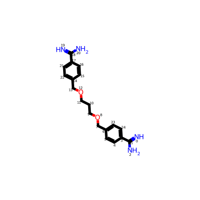 N=C(N)c1ccc(COCCCOCc2ccc(C(=N)N)cc2)cc1